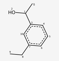 [CH2]C(O)c1cccc(CC)c1